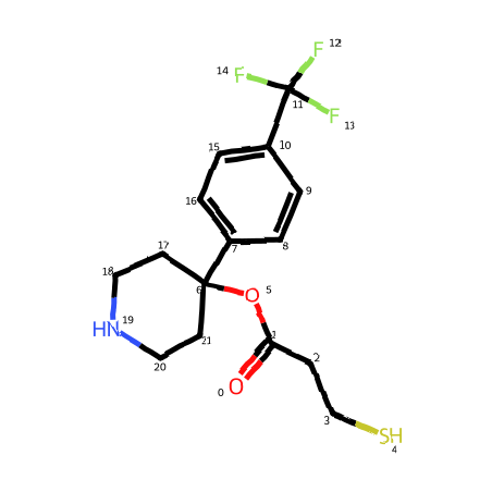 O=C(CCS)OC1(c2ccc(C(F)(F)F)cc2)CCNCC1